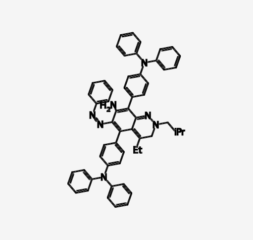 CCC1=c2c(-c3ccc(N(c4ccccc4)c4ccccc4)cc3)c(/N=N\c3ccccc3)c(N)c(-c3ccc(N(c4ccccc4)c4ccccc4)cc3)c2=NN(CC(C)C)C1